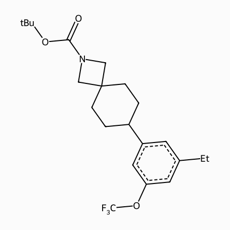 CCc1cc(OC(F)(F)F)cc(C2CCC3(CC2)CN(C(=O)OC(C)(C)C)C3)c1